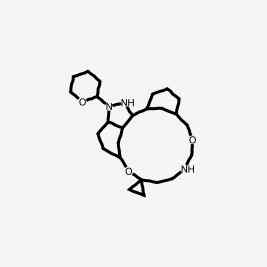 C1CCC(N2NC3C4CCCC(COCNCCC5(CC5)OC5CCC2C3C5)C4)OC1